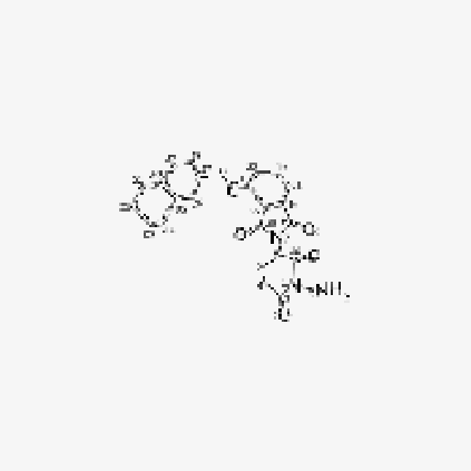 NN1C(=O)CCC(N2C(=O)c3cccc(OCc4ccc5ccccc5c4)c3C2=O)C1=O